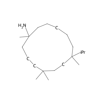 CC(C)C1(C)CCCCCC(C)(N)CCCC(C)(C)CC1